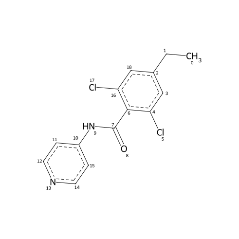 CCc1cc(Cl)c(C(=O)Nc2ccncc2)c(Cl)c1